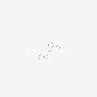 Cc1ccc(-c2cncc3[nH]c(-c4n[nH]c5ncc(C6CCNCC6)cc45)cc23)s1